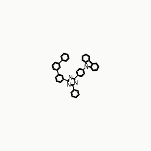 c1ccc(-c2cccc(-c3cccc(-c4nc(-c5ccccc5)nc(-c5ccc(-n6c7ccccc7c7ccccc76)cc5)n4)c3)c2)cc1